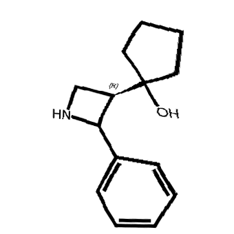 OC1([C@@H]2CNC2c2ccccc2)CCCC1